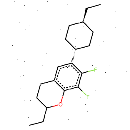 CCC1CCc2cc([C@H]3CC[C@H](CC)CC3)c(F)c(F)c2O1